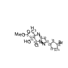 COC(=O)[C@@H](O)c1c(C)nc2cc(-c3cccc(Br)c3)nn2c1Cl